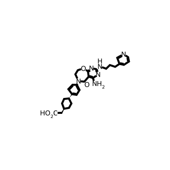 Nc1nc(NCCCc2cccnc2)nc2c1C(=O)N(c1ccc([C@H]3CC[C@H](CC(=O)O)CC3)cc1)CCO2